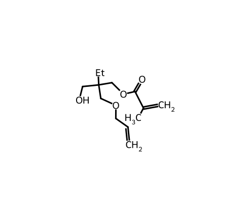 C=CCOCC(CC)(CO)COC(=O)C(=C)C